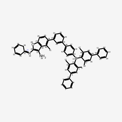 Cc1cc(-c2ccccc2)cc(C)c1B(c1ccc(-c2cccc(-c3ccc4oc(/N=C5/C=CC=CC5)c(N)c4c3C)c2)cc1)c1c(C)cc(-c2ccccc2)cc1C